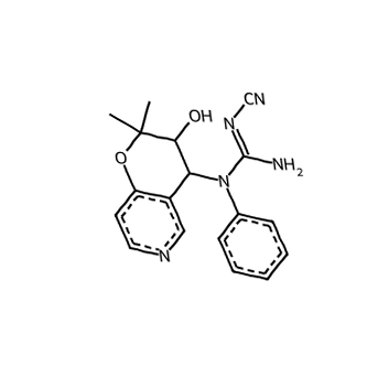 CC1(C)Oc2ccncc2C(N(C(N)=NC#N)c2ccccc2)C1O